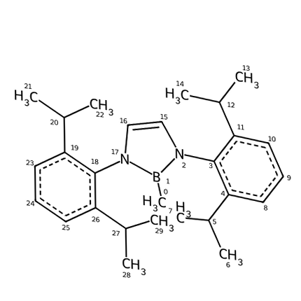 CB1N(c2c(C(C)C)cccc2C(C)C)C=CN1c1c(C(C)C)cccc1C(C)C